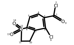 O=C(Cl)c1ccc2c(c1Cl)CCS2(=O)=O